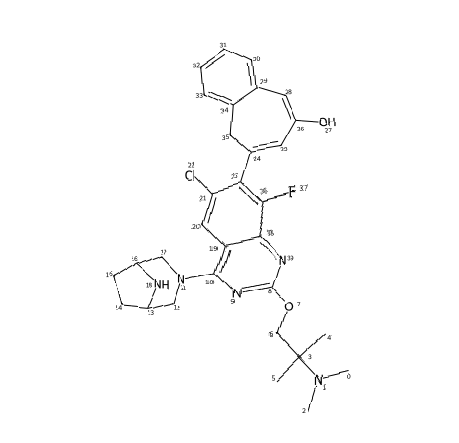 CN(C)C(C)(C)COc1nc(N2CC3CCC(C2)N3)c2cc(Cl)c(C3=CC(O)=Cc4ccccc4C3)c(F)c2n1